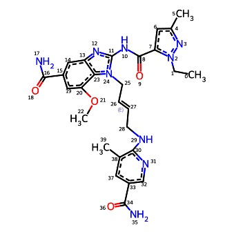 CCn1nc(C)cc1C(=O)Nc1nc2cc(C(N)=O)cc(OC)c2n1C/C=C/CNc1ncc(C(N)=O)cc1C